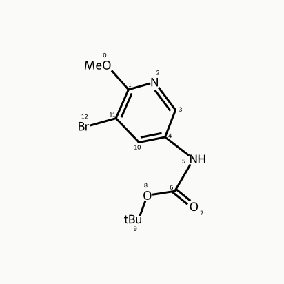 COc1ncc(NC(=O)OC(C)(C)C)cc1Br